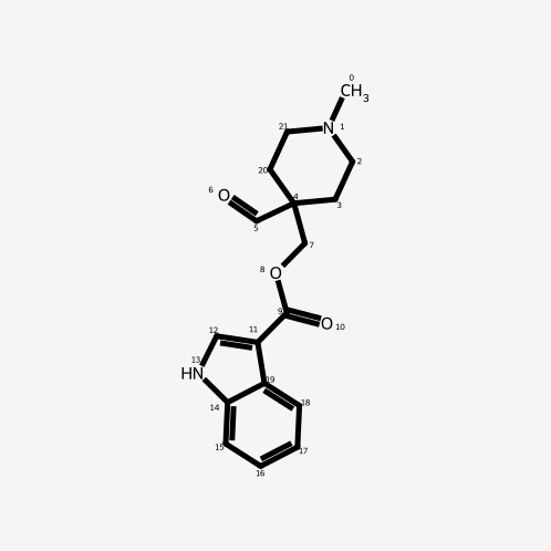 CN1CCC(C=O)(COC(=O)c2c[nH]c3ccccc23)CC1